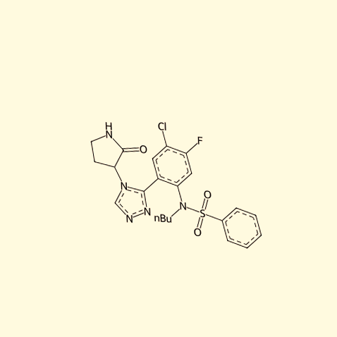 CCCCN(c1cc(F)c(Cl)cc1-c1nncn1C1CCNC1=O)S(=O)(=O)c1ccccc1